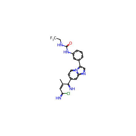 C/C(=C/C(=N)Cl)C(=N)c1ccn2c(-c3cccc(NC(=O)NCC(F)(F)F)c3)cnc2c1